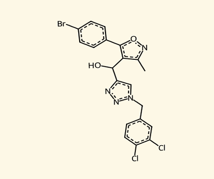 Cc1noc(-c2ccc(Br)cc2)c1C(O)c1cn(Cc2ccc(Cl)c(Cl)c2)nn1